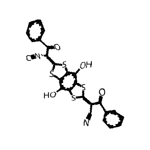 [C-]#[N+]C(C(=O)c1ccccc1)=C1Sc2c(O)c3c(c(O)c2S1)SC(=C(C#N)C(=O)c1ccccc1)S3